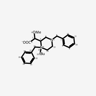 COC(C(=O)[O-])C1CN(Cc2ccccc2)CC[N+]1(Cc1ccccc1)C(C)(C)C